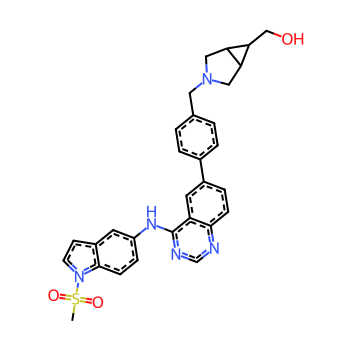 CS(=O)(=O)n1ccc2cc(Nc3ncnc4ccc(-c5ccc(CN6CC7C(CO)C7C6)cc5)cc34)ccc21